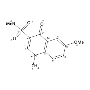 CNS(=O)(=O)c1cn(C)c2ccc(OC)cc2c1=O